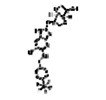 O[C@@H]1CO[C@H]2[C@@H]1OC[C@H]2Oc1nc2nc(NCc3ccc(S(F)(F)(F)(F)F)cc3)c(Cl)cc2[nH]1